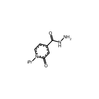 CC(C)n1ccc(C(=O)NN)cc1=O